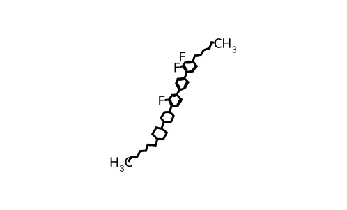 CCCCCCCC1CCC(C2CCC(c3ccc(-c4ccc(-c5ccc(CCCCCC)c(F)c5F)cc4)cc3F)CC2)CC1